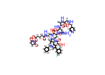 C[C@H](NC(=O)Cc1ccncc1)C(=O)N[C@H](C)C(=O)N[C@@H](CC(N)=O)C(O)N[C@@H](CCN(C(=O)CO)[C@@H](c1cc(-c2cc(F)ccc2F)cn1Cc1ccccc1)C(C)(C)C)C(=O)NCCNC(=O)CCCC(=O)ON1C(=O)CCC1=O